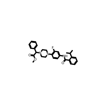 COC(=O)C(c1ccccc1)N1CCN(c2ccc(NC(=O)c3ccccc3C(C)C)cc2F)CC1